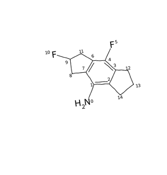 Nc1c2c(c(F)c3c1CC(F)C3)CCC2